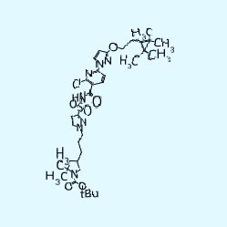 CC(C)(C)OC(=O)N1CC(CCCn2ccc(S(=O)(=O)NC(=O)c3ccc(-n4ccc(OCCC5C(C)(C)C5(C)C)n4)nc3Cl)n2)CC1(C)C